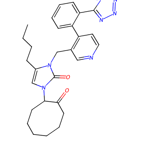 CCCCc1cn(C2CCCCCCC2=O)c(=O)n1Cc1cnccc1-c1ccccc1-c1nnn[nH]1